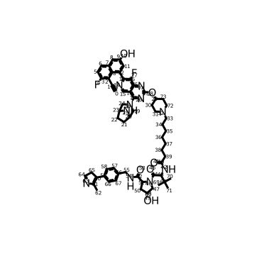 C#Cc1c(F)ccc2cc(O)cc(-c3ncc4c(N5CC6CCC(C5)N6)nc(OC5CCN(CCCCCCCC(=O)NC(C(=O)N6C[C@H](O)CC6C(=O)NCc6ccc(C7=C(C)N=CC7)cc6)C(C)(C)C)CC5)nc4c3F)c12